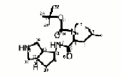 CC(C)CC(C(=O)N[C@H]1CC[C@H]2CNCC21)N(C)C(=O)OC(C)(C)C